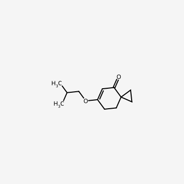 CC(C)COC1=CC(=O)C2(CC1)CC2